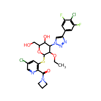 CCOC1C(Sc2cc(Cl)cnc2C(=O)N2CCC2)OC(CO)C(O)C1n1cc(-c2cc(F)c(Cl)c(F)c2)nn1